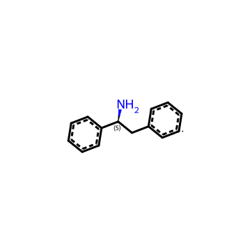 N[C@@H](Cc1c[c]ccc1)c1ccccc1